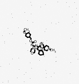 COC1CCC(COC(=O)/N=C(\NC(CC2CCCCC2)C(=O)NC2(C#N)CCN(C)CC2)N2CCOCC2)CC1